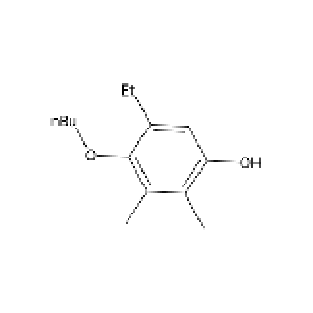 CCCCOc1c(CC)cc(O)c(C)c1C